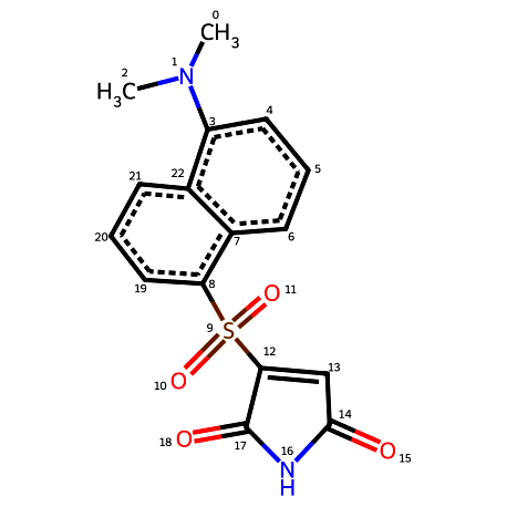 CN(C)c1cccc2c(S(=O)(=O)C3=CC(=O)NC3=O)cccc12